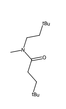 CN(CCC(C)(C)C)C(=O)CCC(C)(C)C